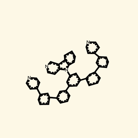 c1cc(-c2ccncc2)cc(-c2cccc(-c3cc(-c4cccc(-c5cccc(-c6ccncc6)c5)c4)cc(-n4c5ccccc5c5cnccc54)c3)c2)c1